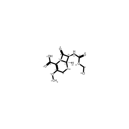 COC1=C(C(=O)O)N2C(=O)[C@@H](NC(=O)OCCl)[C@H]2SC1